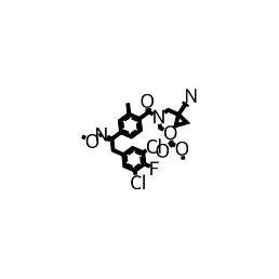 CO/N=C(\Cc1cc(Cl)c(F)c(Cl)c1)c1ccc(C(=O)N(COC(=O)OC)CC2(C#N)CC2)c(C)c1